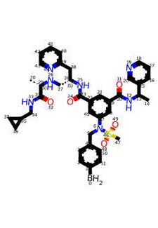 Bc1ccc(CN(c2cc(C(=O)NC(C)c3cccnc3)cc(C(=O)N[C@H](CN[C@@H](C)C(=O)NCC3CC3)Cc3ccccn3)c2)S(C)(=O)=O)cc1